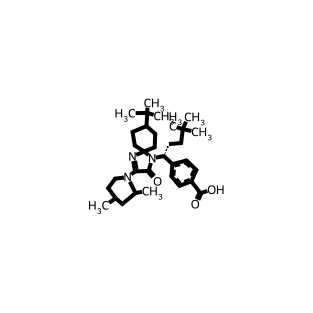 CC1CCN(C2=NC3(CCC(C(C)(C)C)CC3)N([C@H](CCC(C)(C)C)c3ccc(C(=O)O)cc3)C2=O)C(C)C1